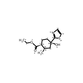 CCOC(=O)[C@H]1CC[C@](O)(c2nccs2)C[C@H]1C